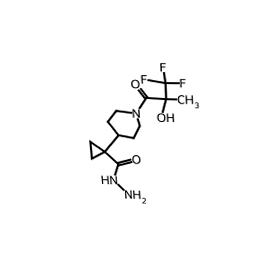 CC(O)(C(=O)N1CCC(C2(C(=O)NN)CC2)CC1)C(F)(F)F